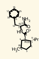 CC(C)[C@@H]1CC[C@@H](C)C[C@H]1C(=O)N[C@@H](Cc1ccccc1)C(N)=O